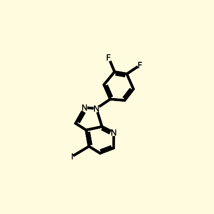 Fc1ccc(-n2ncc3c(I)ccnc32)cc1F